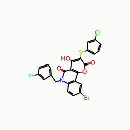 O=c1oc2c(c(O)c1Sc1cccc(Cl)c1)c(=O)n(Cc1cccc(F)c1)c1ccc(Br)cc21